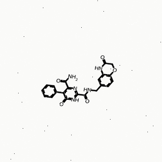 NC(=O)c1nc(C(=O)NCc2ccc3c(c2)NC(=O)CO3)[nH]c(=O)c1-c1ccccc1